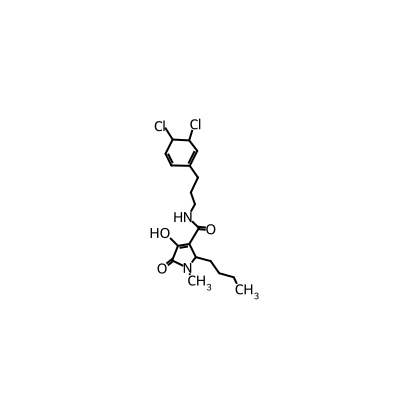 CCCCC1C(C(=O)NCCCC2=CC(Cl)C(Cl)C=C2)=C(O)C(=O)N1C